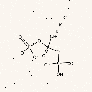 O=P([O-])([O-])OP(=O)(O)OP(=O)([O-])O.[K+].[K+].[K+]